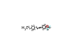 CCC[C@H]1CC[C@H](C=CC#C[C@H]2CC[C@H](OC(F)F)CC2)CC1